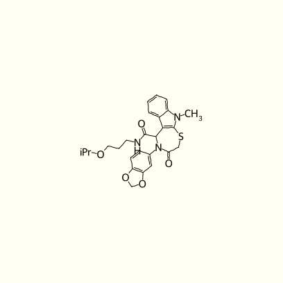 CC(C)OCCCNC(=O)C1c2c(n(C)c3ccccc23)SCC(=O)N1c1ccc2c(c1)OCO2